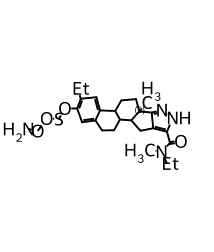 CCc1cc2c(cc1OSOON)CCC1C2CC[C@]2(C)c3n[nH]c(C(=O)N(C)CC)c3CC12